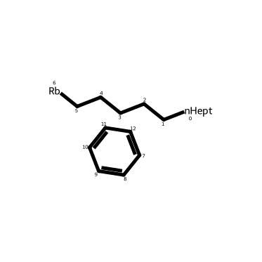 CCCCCCCCCCC[CH2][Rb].c1ccccc1